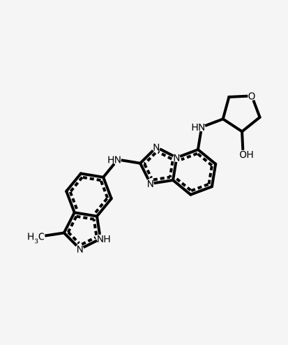 Cc1n[nH]c2cc(Nc3nc4cccc(NC5COCC5O)n4n3)ccc12